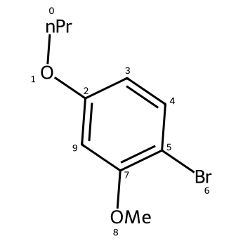 CCCOc1ccc(Br)c(OC)c1